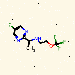 CC(NCCOC(F)(F)F)c1ncc(F)cn1